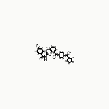 O=C(c1cccc(Cn2c(=O)[nH]c(=O)c3ccc(F)cc32)c1)N1CCN(C(=O)C2CCCC2)CC1